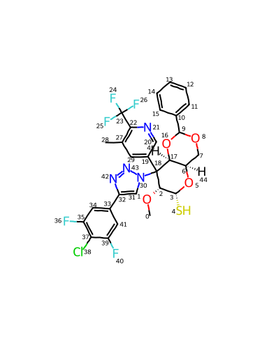 CO[C@H]1[C@@H](S)O[C@@H]2COC(c3ccccc3)O[C@@H]2C1(c1cnc(C(F)(F)F)c(C)c1)n1cc(-c2cc(F)c(Cl)c(F)c2)nn1